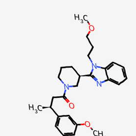 COCCCn1c([C@@H]2CCCN(C(=O)C[C@H](C)c3cccc(OC)c3)C2)nc2ccccc21